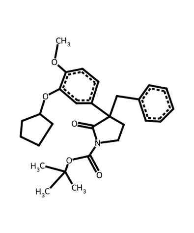 COc1ccc(C2(Cc3ccccc3)CCN(C(=O)OC(C)(C)C)C2=O)cc1OC1CCCC1